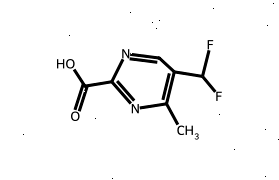 Cc1nc(C(=O)O)ncc1C(F)F